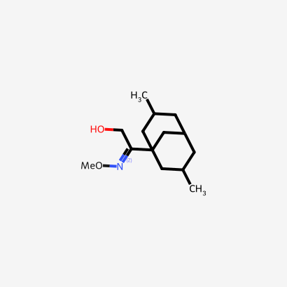 CO/N=C(\CO)C12CC(C)CC(CC(C)C1)C2